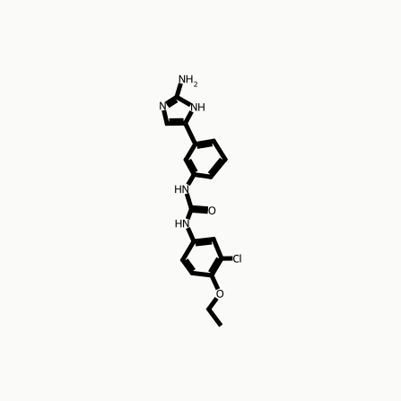 CCOc1ccc(NC(=O)Nc2cccc(-c3cnc(N)[nH]3)c2)cc1Cl